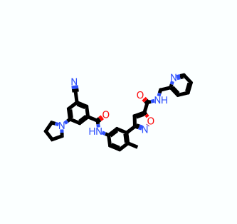 Cc1ccc(NC(=O)c2cc(C#N)cc(N3CCCC3)c2)cc1-c1cc(C(=O)NCc2ccccn2)on1